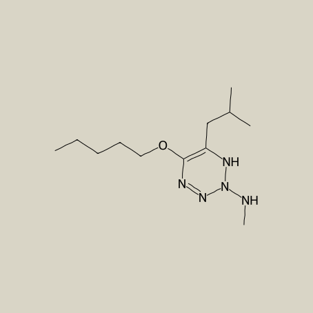 CCCCCOC1=C(CC(C)C)NN(NC)N=N1